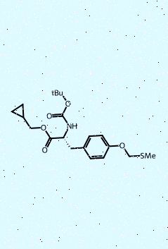 CSCOc1ccc(C[C@@H](NC(=O)OC(C)(C)C)C(=O)OCC2CC2)cc1